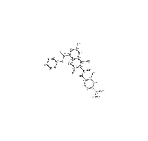 COC(=O)c1ccc(NC(=O)c2c(O)c3cc(F)cc(N(C)Cc4ccccc4)c3[nH]c2=O)c(I)c1